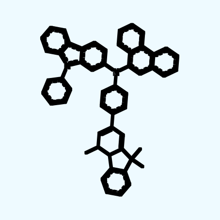 CC1C=C(c2ccc(N(c3ccc4c5ccccc5n(-c5ccccc5)c4c3)c3cc4ccccc4c4ccccc34)cc2)C=C2C1c1ccccc1C2(C)C